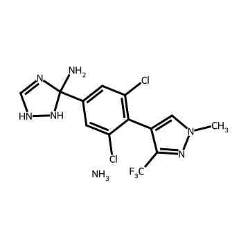 Cn1cc(-c2c(Cl)cc(C3(N)N=CNN3)cc2Cl)c(C(F)(F)F)n1.N